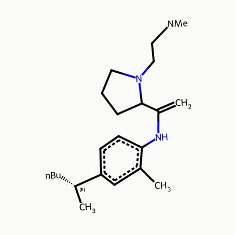 C=C(Nc1ccc([C@H](C)CCCC)cc1C)C1CCCN1CCNC